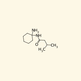 CC(C)CC(=O)NC1(N)CCCCC1